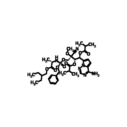 CCC(CC)COC(=O)[C@H](C)NP(=O)(OCc1ccccc1)OC[C@@](C#N)(OC)[C@@H](OC(=O)C(C)C)[C@@H](OC(=O)C(C)C)c1ccc2c(N)ncnn12